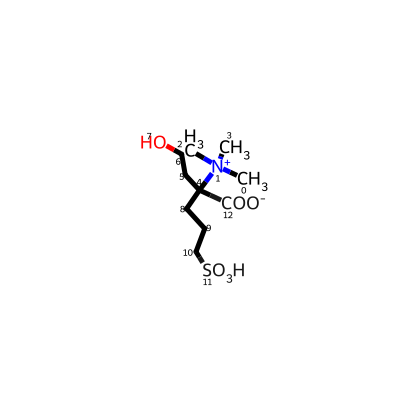 C[N+](C)(C)C(CCO)(CCCS(=O)(=O)O)C(=O)[O-]